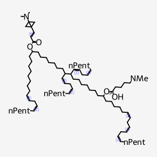 CCCCC/C=C\C/C=C\C/C=C\CCCCCC(CCCCCCCC(/C=C\C/C=C\CCCCC)C(/C=C\C/C=C\CCCCC)CCCCCCCC(CCCCCCCC/C=C\C/C=C\CCCCC)OC(=O)/C=C/C12CC1(N(C)C)C2)O[C@@H](O)CCCCNC